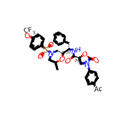 CC(=O)c1ccc(N2C[C@@H](C(=O)N[C@@H](Cc3ccccc3)[C@H]3CN(S(=O)(=O)c4ccc(OC(F)(F)F)cc4)CC(C)O3)OC2=O)cc1